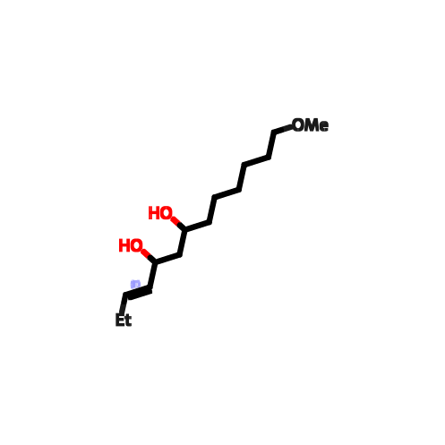 CC/C=C/C(O)CC(O)CCCCCCOC